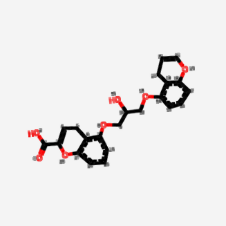 O=C(O)C1=CCc2c(OCC(O)COc3cccc4c3CC=CO4)cccc2O1